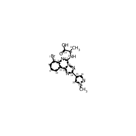 C[C@@H](Nc1nc2c(Br)cccc2c2nc(-c3cnn(C)c3)nn12)C(=O)O